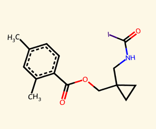 Cc1ccc(C(=O)OCC2(CNC(=O)I)CC2)c(C)c1